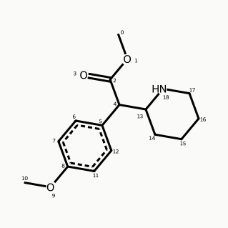 COC(=O)C(c1ccc(OC)cc1)C1CCCCN1